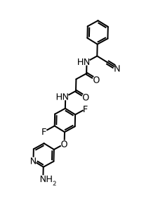 N#CC(NC(=O)CC(=O)Nc1cc(F)c(Oc2ccnc(N)c2)cc1F)c1ccccc1